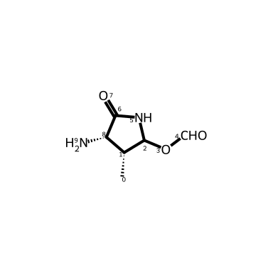 C[C@H]1C(OC=O)NC(=O)[C@H]1N